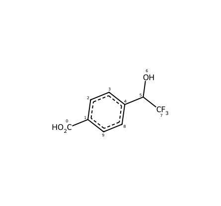 O=C(O)c1ccc(C(O)C(F)(F)F)cc1